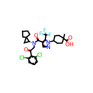 CC1(C(=O)O)CCC(n2ncc(C(=O)N(CC(=O)c3c(Cl)cccc3Cl)[C@@H]3CC34CCCC4)c2C(F)(F)F)CC1